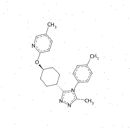 Cc1ccc(-n2c(C)nnc2[C@H]2CC[C@H](Oc3ccc(C)cn3)CC2)cc1